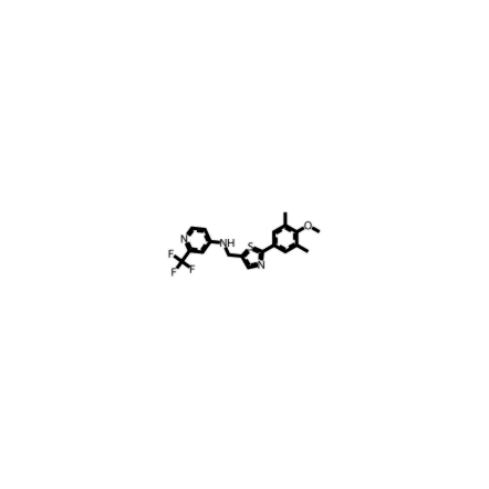 COc1c(C)cc(-c2ncc(CNc3ccnc(C(F)(F)F)c3)s2)cc1C